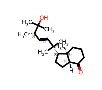 C[C@@H](/C=C/C(C)(C)[C@H]1CC[C@H]2C(=O)CCC[C@]12C)C(C)(C)O